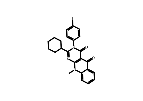 Cn1c2ccccc2c(=O)c2c(=O)n(-c3ccc(I)cc3)c(C3CCCCC3)nc21